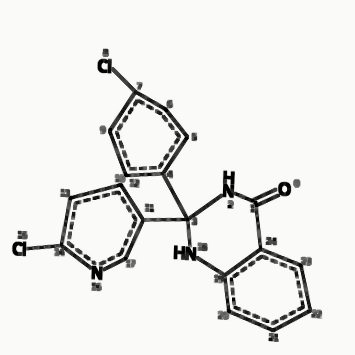 O=C1NC(c2ccc(Cl)cc2)(c2ccc(Cl)nc2)Nc2ccccc21